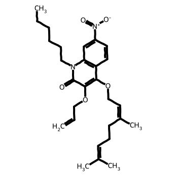 C=CCOc1c(OCC=C(C)CCC=C(C)C)c2ccc([N+](=O)[O-])cc2n(CCCCCC)c1=O